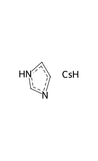 [CsH].c1c[nH]cn1